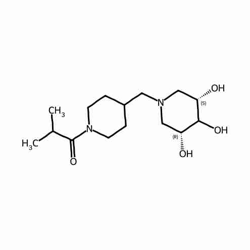 CC(C)C(=O)N1CCC(CN2C[C@@H](O)C(O)[C@@H](O)C2)CC1